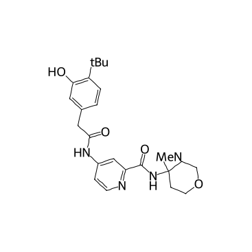 CNC1(NC(=O)c2cc(NC(=O)Cc3ccc(C(C)(C)C)c(O)c3)ccn2)CCOCC1